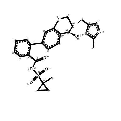 Cc1nnc(C[C@H]2COc3cc(-c4ccccc4C(=O)NS(=O)(=O)C4(C)CC4)ccc3[C@@H]2O)s1